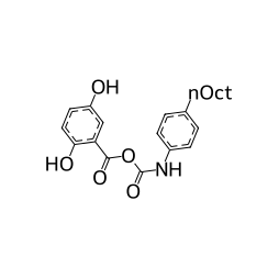 CCCCCCCCc1ccc(NC(=O)OC(=O)c2cc(O)ccc2O)cc1